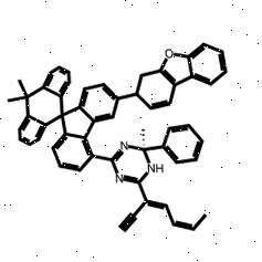 C#C/C(=C\C=C/C)C1=NC(c2cccc3c2-c2cc(C4C=Cc5c(oc6ccccc56)C4)ccc2C32c3ccccc3C(C)(C)c3ccccc32)=N[C@@](C)(c2ccccc2)N1